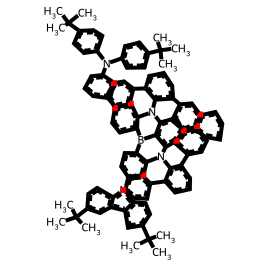 CC(C)(C)c1ccc(N(c2ccc(C(C)(C)C)cc2)c2cccc(-c3ccc4c(c3)N(c3c(-c5ccccc5)cccc3-c3ccccc3)c3cc(-c5ccccc5)cc5c3B4c3ccc(-n4c6ccc(C(C)(C)C)cc6c6cc(C(C)(C)C)ccc64)cc3N5c3c(-c4ccccc4)cccc3-c3ccccc3)c2)cc1